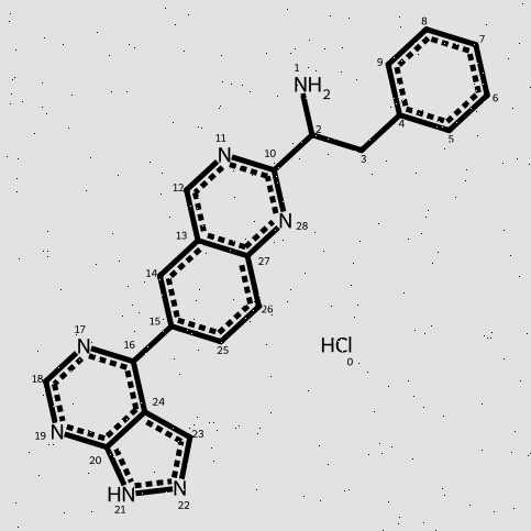 Cl.NC(Cc1ccccc1)c1ncc2cc(-c3ncnc4[nH]ncc34)ccc2n1